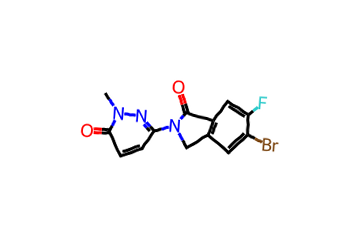 Cn1nc(N2Cc3cc(Br)c(F)cc3C2=O)ccc1=O